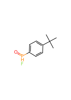 CC(C)(C)c1ccc([PH](=O)F)cc1